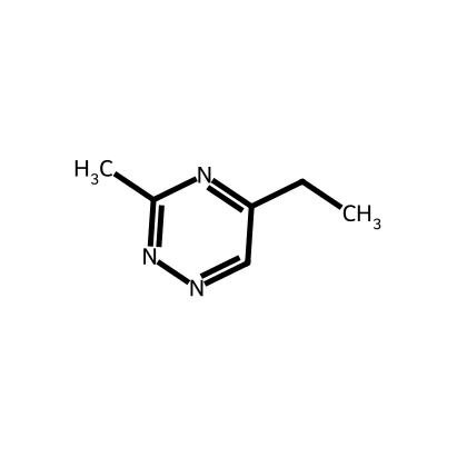 CCc1cnnc(C)n1